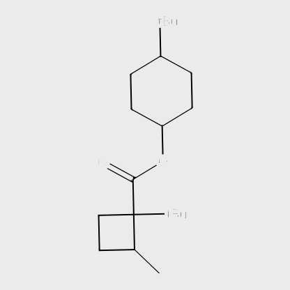 CC1CCC1(C(=O)OC1CCC(C(C)(C)C)CC1)C(C)(C)C